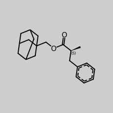 C[C@@H](Cc1ccccc1)C(=O)OCC12CC3CC(CC(C3)C1)C2